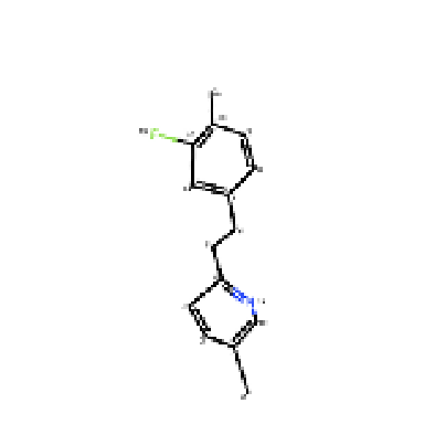 Cc1ccc(CCc2ccc(C)c(F)c2)nc1